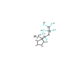 CC1(C(F)(F)CC(F)(F)C(F)F)CCCC1